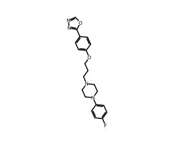 Fc1ccc(N2CCN(CCCOc3ccc(-c4nnco4)cc3)CC2)cc1